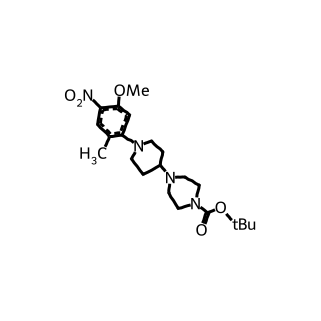 COc1cc(N2CCC(N3CCN(C(=O)OC(C)(C)C)CC3)CC2)c(C)cc1[N+](=O)[O-]